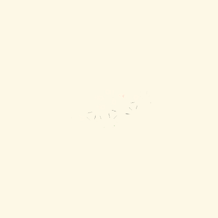 CC(C)Oc1ccc2cc(Cc3cc([C@@H]4O[C@H](CO)[C@@H](O)[C@H](O)[C@H]4O)cc(C(c4cc5ccc(OC(C)C)cc5s4)C(Cl)Br)c3Cl)sc2c1